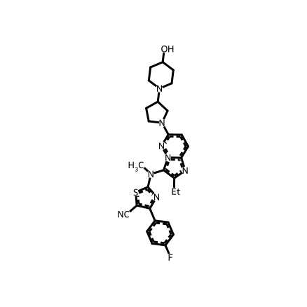 CCc1nc2ccc(N3CCC(N4CCC(O)CC4)C3)nn2c1N(C)c1nc(-c2ccc(F)cc2)c(C#N)s1